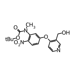 CN(C(=O)OC(C)(C)C)c1cc(Oc2ccncc2CO)ccc1[N+](=O)[O-]